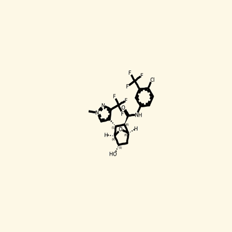 Cn1cc([C@H]2[C@H]3O[C@H](C[C@@H]3O)[C@@H]2C(=O)Nc2ccc(Cl)c(C(F)(F)F)c2)c(C(F)(F)F)n1